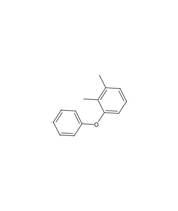 Cc1cccc(Oc2cc[c]cc2)c1C